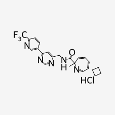 C1CCC1.CC1(C(=O)NCc2cc(-c3ccc(C(F)(F)F)nc3)ncn2)C=CC=CC=N1.Cl